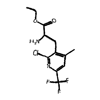 CCOC(=O)C(N)Cc1c(C)cc(C(F)(F)F)nc1Cl